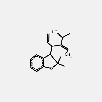 C=CN(/C(=C\N)C(C)O)C1c2ccccc2OC1(C)C